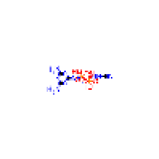 N#CNOP(=O)(O)OP(=O)(O)O.Nc1nc(N)nc(N)n1